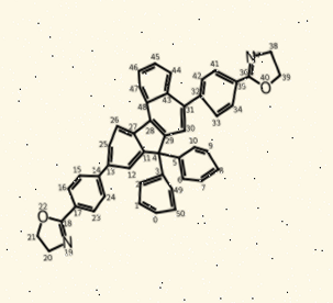 c1ccc(C2(c3ccccc3)c3cc(-c4ccc(C5=NCCO5)cc4)ccc3-c3c2cc(-c2ccc(C4=NCCO4)cc2)c2ccccc32)cc1